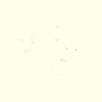 CSCC[C@H](NC(=O)[C@H](CCCNC(=N)N)NC(=O)[C@H](C)N)C(=O)NCC(=O)O